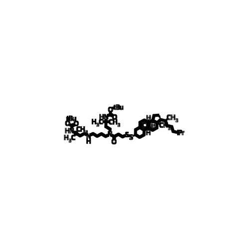 CC(C)CCC[C@@H](C)[C@H]1CC[C@H]2[C@@H]3CC=C4C[C@@H](SSCCC(=O)N(CCCCNCCC(C)(C)NC(=O)OC(C)(C)C)CCC(C)(C)NC(=O)OC(C)(C)C)CC[C@]4(C)[C@H]3CC[C@]12C